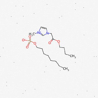 CCCCCCCCOS(=O)(=O)[O-].CCCCOC(=O)Cn1cc[n+](C)c1